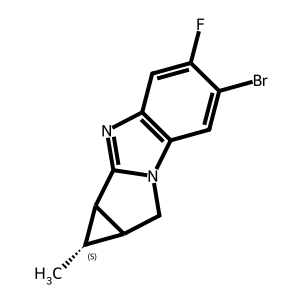 C[C@H]1C2Cn3c(nc4cc(F)c(Br)cc43)C21